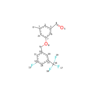 Cc1cc(C=O)cc(OCc2cc(F)cc(C(F)(F)F)c2)c1